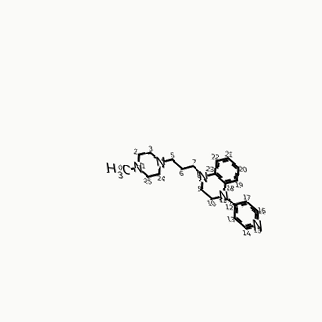 CN1CCN(CCCN2CCN(c3ccncc3)c3ccccc32)CC1